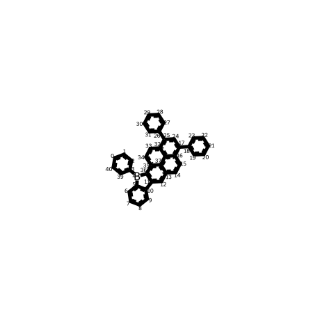 c1ccc(B2c3ccccc3-c3cc4ccc5c(-c6ccccc6)cc(-c6ccccc6)c6ccc(c32)c4c56)cc1